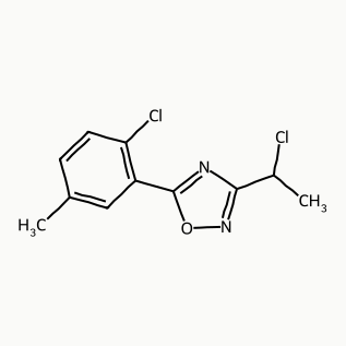 Cc1ccc(Cl)c(-c2nc(C(C)Cl)no2)c1